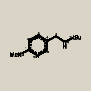 CNc1ccc(CNC(C)(C)C)cn1